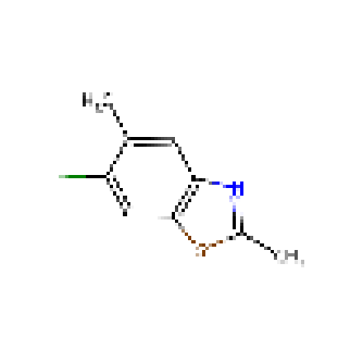 Cc1nc2cc(C)c(F)cc2s1